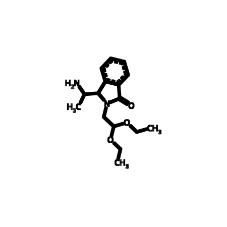 CCOC(CN1C(=O)c2ccccc2C1C(C)N)OCC